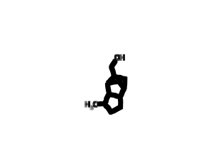 CC1CCC2C3CC(CO)C(C3)C12